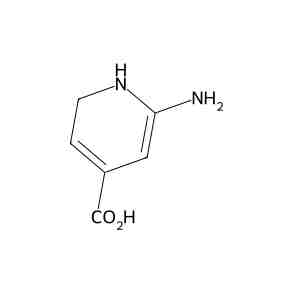 NC1=CC(C(=O)O)=CCN1